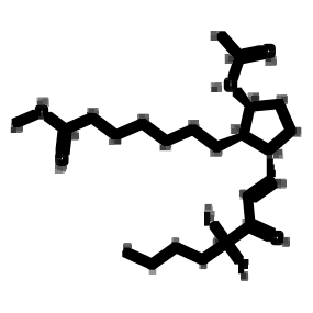 CCCCC(F)(F)C(=O)/C=C/[C@H]1CC[C@H](OC(C)=O)[C@@H]1CCCCCCC(=O)OC